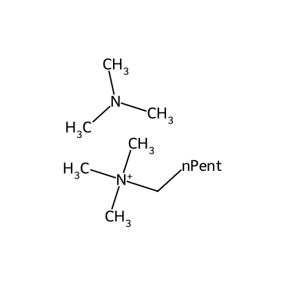 CCCCCC[N+](C)(C)C.CN(C)C